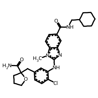 Cn1c(Nc2cc(CC3(C(N)=O)CCCO3)ccc2Cl)nc2cc(C(=O)NCC3CCCCC3)ccc21